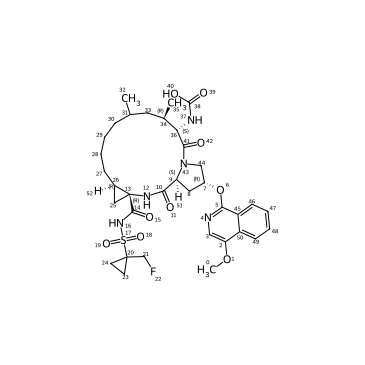 COc1cnc(O[C@@H]2C[C@H]3C(=O)N[C@]4(C(=O)NS(=O)(=O)C5(CF)CC5)C[C@H]4CCCCC(C)C[C@@H](C)[C@H](NC(=O)O)C(=O)N3C2)c2ccccc12